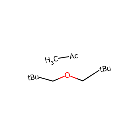 CC(C)(C)COCC(C)(C)C.CC(C)=O